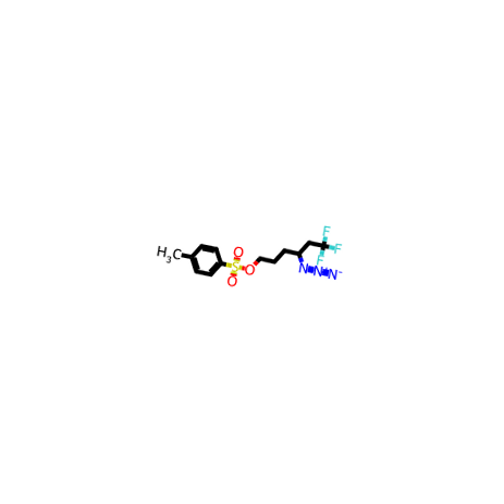 Cc1ccc(S(=O)(=O)OCCCC(CC(F)(F)F)N=[N+]=[N-])cc1